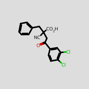 N#CC(CC(=O)c1ccc(Cl)c(Cl)c1)(Cc1ccccc1)C(=O)O